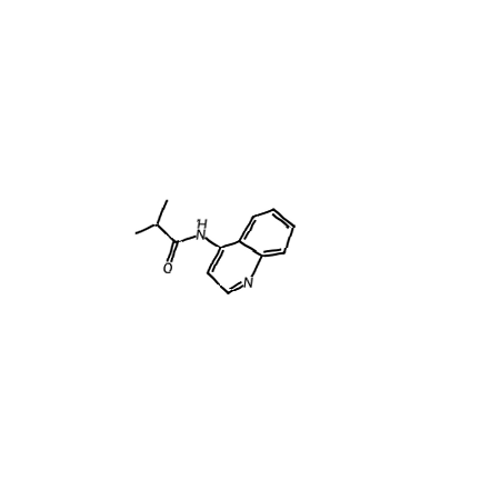 CC(C)C(=O)Nc1ccnc2ccccc12